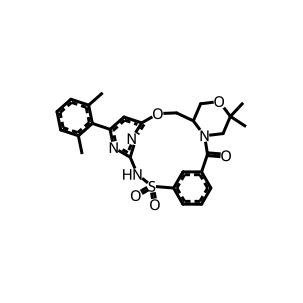 Cc1cccc(C)c1-c1cc2nc(n1)NS(=O)(=O)c1cccc(c1)C(=O)N1CC(C)(C)OCC1CO2